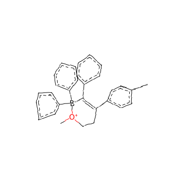 Cc1ccc(C2=C(c3ccccc3)[B-](c3ccccc3)(c3ccccc3)[O+](C)CC2)cc1